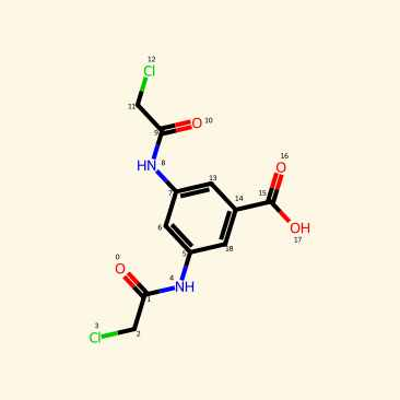 O=C(CCl)Nc1cc(NC(=O)CCl)cc(C(=O)O)c1